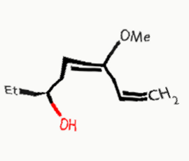 C=C/C(=C\[C@@H](O)CC)OC